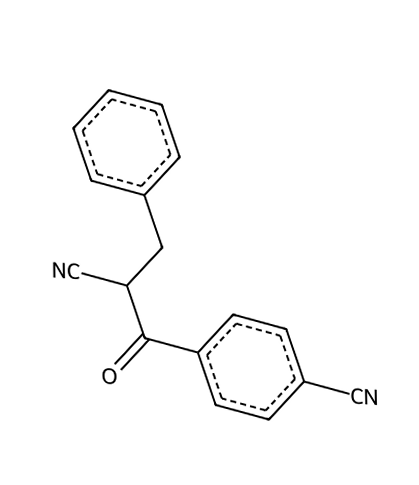 N#Cc1ccc(C(=O)C(C#N)Cc2ccccc2)cc1